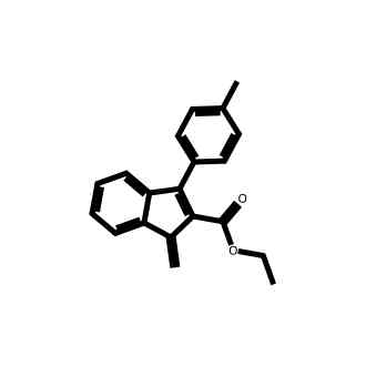 C=C1C(C(=O)OCC)=C(c2ccc(C)cc2)c2ccccc21